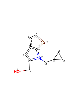 OCc1cc2ccsc2n1CC1CC1